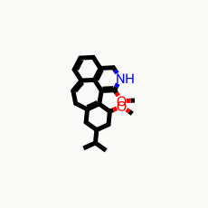 COC1=C2C3=C(CC=CC3=CCC3=C2C(OC)CC(C(C)C)C3)CN1